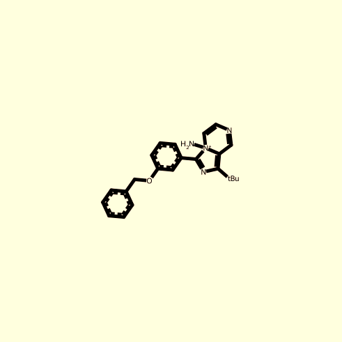 CC(C)(C)C1=C2C=NC=C[N+]2(N)C(c2cccc(OCc3ccccc3)c2)=N1